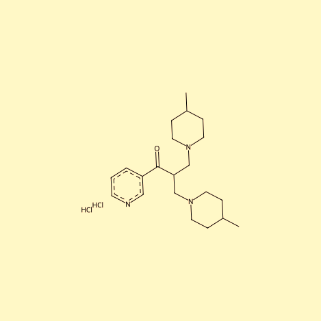 CC1CCN(CC(CN2CCC(C)CC2)C(=O)c2cccnc2)CC1.Cl.Cl